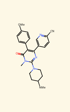 CNC1CCN(c2nc(-c3ccc(C#N)nc3)c(-c3ccc(OC)cc3)c(=O)n2C)CC1